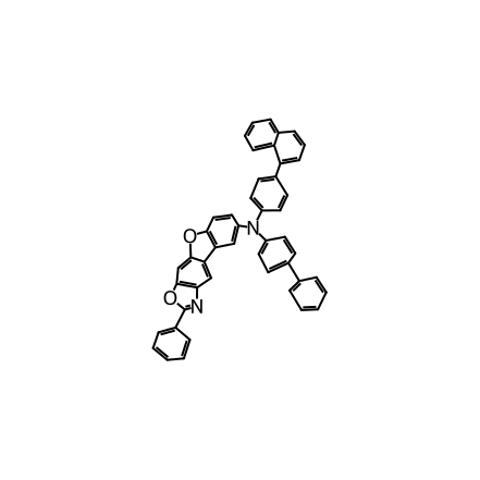 c1ccc(-c2ccc(N(c3ccc(-c4cccc5ccccc45)cc3)c3ccc4oc5cc6oc(-c7ccccc7)nc6cc5c4c3)cc2)cc1